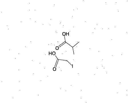 CC(C)C(=O)O.O=C(O)CI